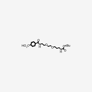 CC(C)(C)OC(=O)NCCCOCCOCCNC(=O)c1ccc(C(=O)O)cc1